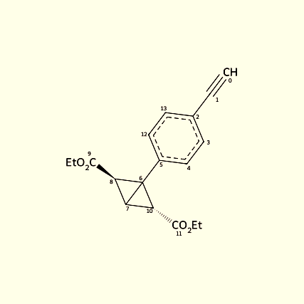 C#Cc1ccc(C23C([C@H]2C(=O)OCC)[C@H]3C(=O)OCC)cc1